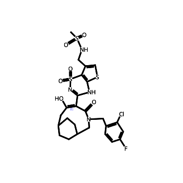 CS(=O)(=O)NCc1csc2c1S(=O)(=O)N=C(/C1=C(\O)CC3CCC(CC3)CN(Cc3ccc(F)cc3Cl)C1=O)N2